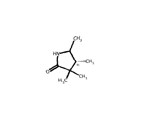 CC1NC(=O)C(C)(C)[C@H]1C